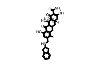 NC(=O)C1=C(O)C[C@@H]2CC3Cc4c(F)c(CNC5Cc6ccccc6C5)cc(O)c4C(=O)C3=C(O)[C@]2(O)C1=O